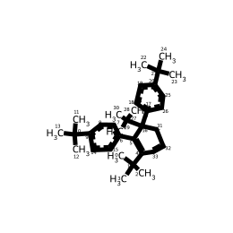 CC(C)(C)C1=C(c2ccc(C(C)(C)C)cc2)C(c2ccc(C(C)(C)C)cc2)(C(C)(C)C)[CH]C=C1